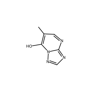 Cc1cnc2ncnn2c1O